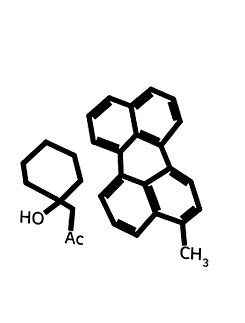 CC(=O)CC1(O)CCCCC1.Cc1ccc2c3cccc4cccc(c5cccc1c52)c43